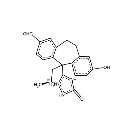 C[C@H](N)CC1(c2n[nH]c(=O)[nH]2)c2ccc(O)cc2CCc2cc(C=O)ccc21